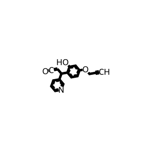 C#CCOc1ccc(C(C=C=O)c2cccnc2)c(O)c1